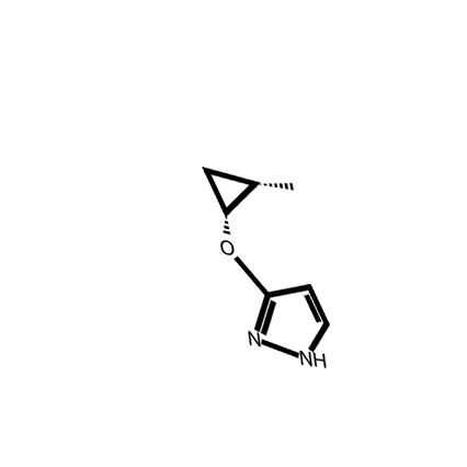 C[C@H]1C[C@H]1Oc1cc[nH]n1